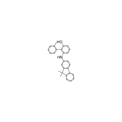 Cc1ccccc1-c1c(O)cccc1Nc1ccc2c(c1)C(C)(C)c1ccccc1-2